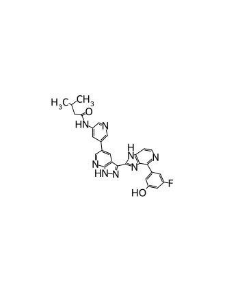 CC(C)CC(=O)Nc1cncc(-c2cnc3[nH]nc(-c4nc5c(-c6cc(O)cc(F)c6)nccc5[nH]4)c3c2)c1